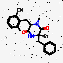 CCC1(Cc2ccccc2)NC(=O)C(Cc2c(C)cccc2C#N)N(C)C1=O